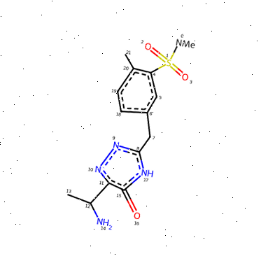 CNS(=O)(=O)c1cc(Cc2nnc(C(C)N)c(=O)[nH]2)ccc1C